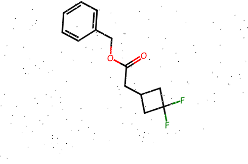 O=C(CC1CC(F)(F)C1)OCc1ccccc1